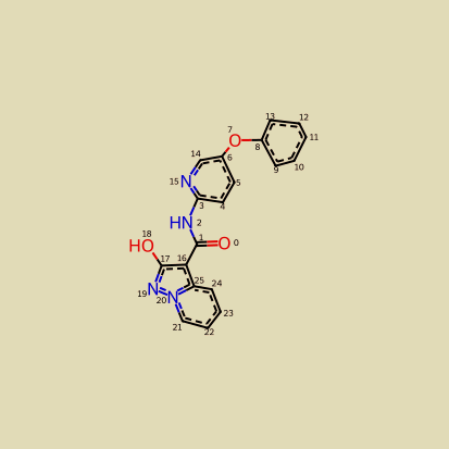 O=C(Nc1ccc(Oc2ccccc2)cn1)c1c(O)nn2ccccc12